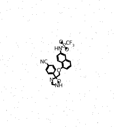 N#Cc1ccc(C2(COc3cccc4cc(NS(=O)(=O)C(F)(F)F)ccc34)N=CNO2)cc1